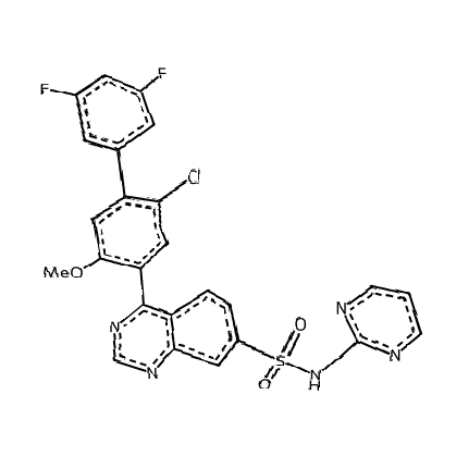 COc1cc(-c2cc(F)cc(F)c2)c(Cl)cc1-c1ncnc2cc(S(=O)(=O)Nc3ncccn3)ccc12